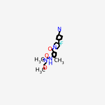 COCCN(C)C(=O)Nc1cc(C(=O)N2CCC(F)(c3ccc(C#N)cc3)CC2)ccc1C